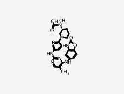 Cc1cnc(Nc2ccc(N3CCC[C@H](N(C)C(=O)O)C3)nc2)nc1Nc1ccc2oc(=O)[nH]c2c1